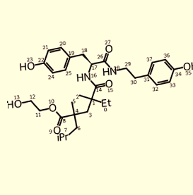 CCC(C)(CC(C)(CC(C)C)C(=O)OCCO)C(=O)N[C@@H](Cc1ccc(O)cc1)C(=O)NCCc1ccc(O)cc1